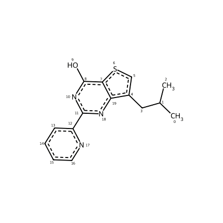 CC(C)Cc1csc2c(O)nc(-c3ccccn3)nc12